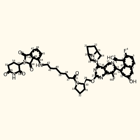 C#Cc1c(F)ccc2cc(O)cc(-c3ncc4c(N5CC6CCC(C5)N6)nc(OC[C@H]5CCCN5C(=O)CCCCCCNc5cccc6c5C(=O)N(C5CCC(=O)NC5=O)C6=O)nc4c3F)c12